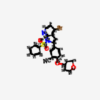 N#Cc1cc(-c2cc3c(Br)ccnc3n2S(=O)(=O)c2ccccc2)ccc1OC1CCOCC1